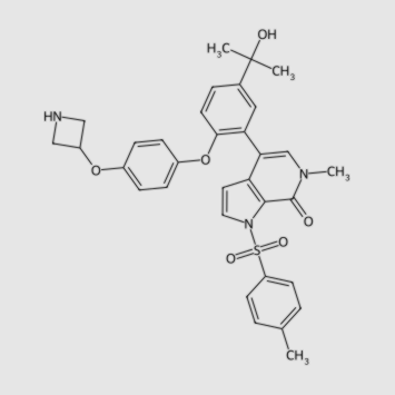 Cc1ccc(S(=O)(=O)n2ccc3c(-c4cc(C(C)(C)O)ccc4Oc4ccc(OC5CNC5)cc4)cn(C)c(=O)c32)cc1